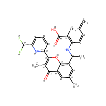 C=C/C=C\C(NC(C)c1cc(C)cc2c(=O)c(C)c(-c3cccc(C(F)F)n3)oc12)=C(/C)C(=O)O